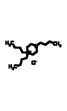 CCCCN1CC[N+](CCCC)(CCCC)CC1.[Cl-]